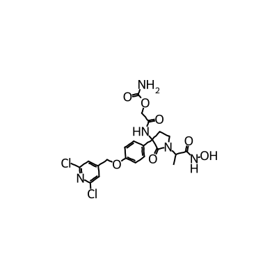 CC(C(=O)NO)N1CCC(NC(=O)COC(N)=O)(c2ccc(OCc3cc(Cl)nc(Cl)c3)cc2)C1=O